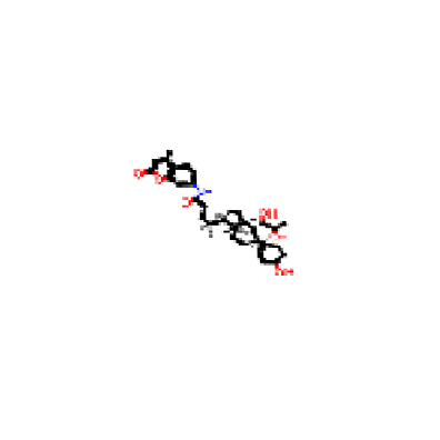 Cc1cc(=O)oc2cc(NC(=O)CC[C@@H](C)[C@H]3CC[C@H]4[C@H](C(O)C(C)O)[C@@H]([C@]5(C)CC[C@H](O)CC5)CC[C@]34C)ccc12